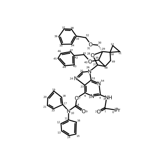 CC(C)C(=O)Nc1nc(OC(=O)N(c2ccccc2)c2ccccc2)c2ncn(C3O[C@]4(COCc5ccccc5)C(OCc5ccccc5)C3CC43CC3)c2n1